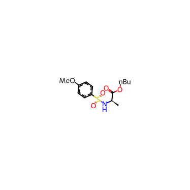 CCCCOC(=O)[C@@H](C)NS(=O)(=O)c1ccc(OC)cc1